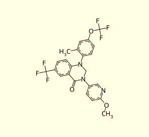 COc1ccc(N2CN(c3ccc(OC(F)(F)F)cc3C)c3ccc(C(F)(F)F)cc3C2=O)cn1